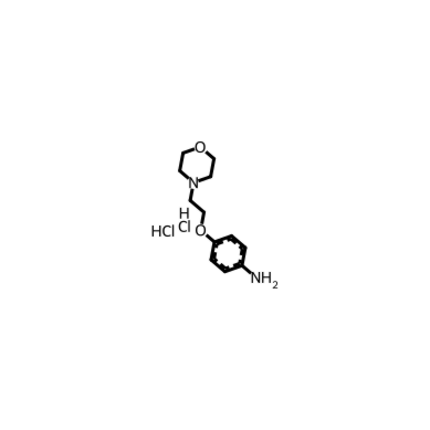 Cl.Cl.Nc1ccc(OCCN2CCOCC2)cc1